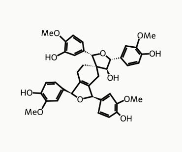 COc1ccc([C@@H]2O[C@H](c3ccc(O)c(OC)c3)[C@@H](O)[C@]23CCC2=C(C3)[C@@H](c3ccc(O)c(OC)c3)O[C@H]2c2ccc(O)c(OC)c2)cc1O